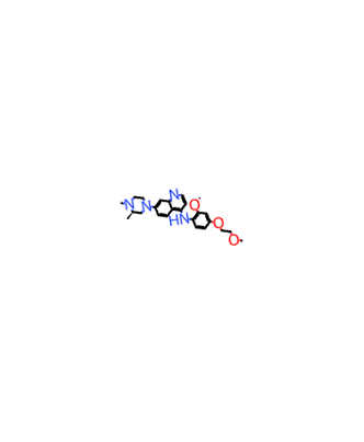 COCCOc1ccc(Nc2ccnc3cc(N4CCN(C)[C@H](C)C4)ccc23)c(OC)c1